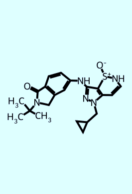 CC(C)(C)N1Cc2cc(Nc3nn(CC4CC4)c4c3[S+]([O-])NC=C4)ccc2C1=O